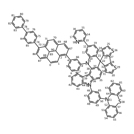 C1=CC2=C(c3cccc(N4c5cc(-c6ccccn6)ccc5C5(c6ccsc6-c6sccc65)c5ccc6c(c54)c4ccccc4n6-c4cccc(N5c6ccccc6Sc6ccccc65)c4)c3)C=CC3=CC=C4C(c5ccc(-c6ccccc6)cc5)=CC=C1C4C32